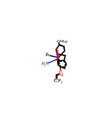 COC1CCC2(CC1)Cc1ccc(OCC(F)(F)F)cc1C21N=C(N)N(C(C)C)C1=O